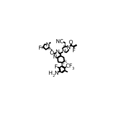 C=C(F)C(=O)N1CCN(c2nc(OC[C@@H]3C[C@@H](F)CN3C)nc3c2C[C@H](C)[C@@H](c2c(F)c(N)cc(C)c2C(F)(F)F)C3)C[C@H]1CC#N